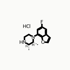 C[C@@H]1NCCN(c2cc(F)cc3ccoc23)[C@@H]1C.Cl